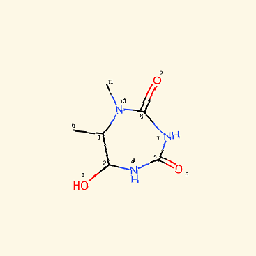 CC1C(O)NC(=O)NC(=O)N1C